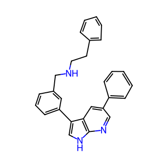 c1ccc(CCNCc2cccc(-c3c[nH]c4ncc(-c5ccccc5)cc34)c2)cc1